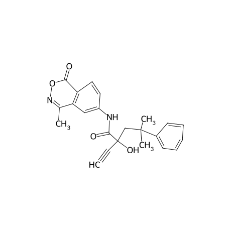 C#CC(O)(CC(C)(C)c1ccccc1)C(=O)Nc1ccc2c(=O)onc(C)c2c1